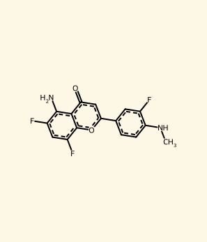 CNc1ccc(-c2cc(=O)c3c(N)c(F)cc(F)c3o2)cc1F